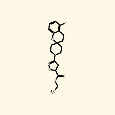 CCOC(=O)C1CC(N2CCC3(CCc4c(Cl)cccc4O3)CC2)=NO1